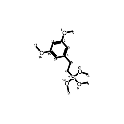 COc1cc(CC[Si](OC)(OC)OC)cc(OC)c1